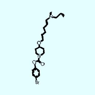 C=CCN(C)CCCCCCOC1CCN(C(=O)Oc2ccc(Br)cc2)CC1